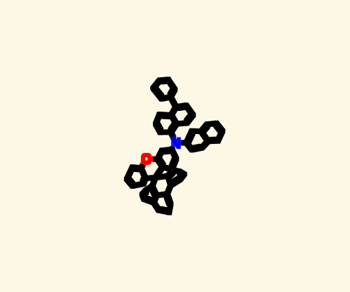 c1ccc(-c2cccc3c(N(c4ccc5c(c4)Oc4ccccc4C54c5ccccc5-c5cccc6cccc4c56)c4ccc5ccccc5c4)cccc23)cc1